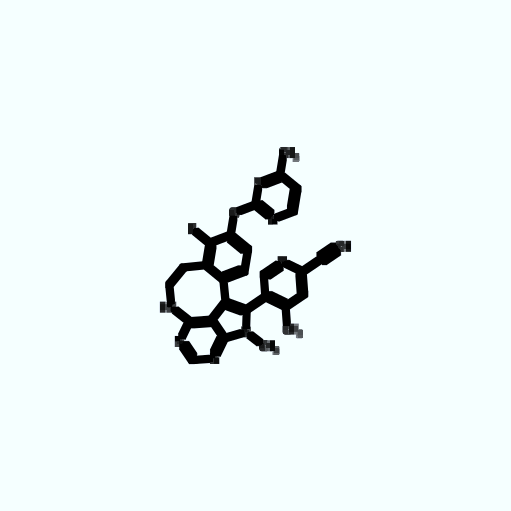 C#Cc1cc(C)c(-c2c3c4c(ncnc4n2C)NCCc2c-3ccc(Oc3nccc(C)n3)c2F)cn1